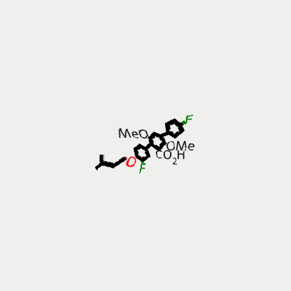 COc1cc(-c2ccc(F)cc2)c(OC)c(C(=O)O)c1-c1ccc(OCC=C(C)C)c(F)c1